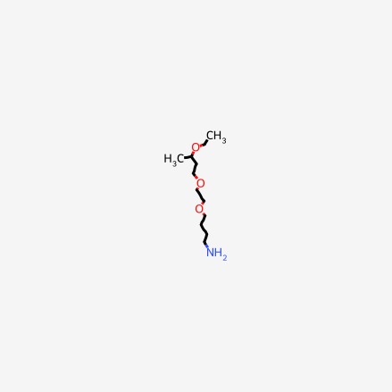 CCOC(C)CCOCCOCCCCN